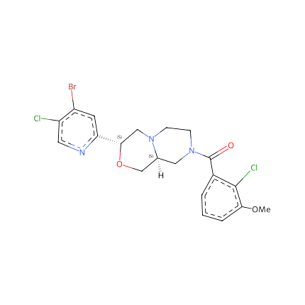 COc1cccc(C(=O)N2CCN3C[C@@H](c4cc(Br)c(Cl)cn4)OC[C@@H]3C2)c1Cl